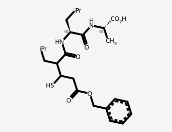 CC(C)CC(C(=O)N[C@@H](CC(C)C)C(=O)N[C@@H](C)C(=O)O)C(S)CC(=O)OCc1ccccc1